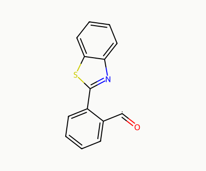 O=[C]c1ccccc1-c1nc2ccccc2s1